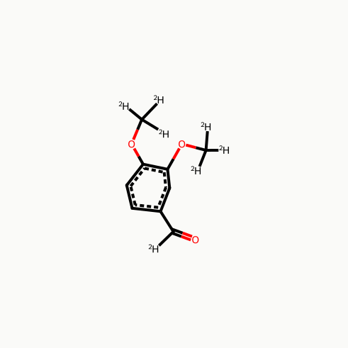 [2H]C(=O)c1ccc(OC([2H])([2H])[2H])c(OC([2H])([2H])[2H])c1